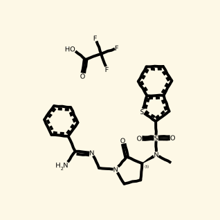 CN([C@H]1CCN(CN=C(N)c2ccccc2)C1=O)S(=O)(=O)c1cc2ccccc2s1.O=C(O)C(F)(F)F